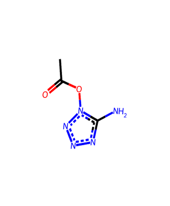 CC(=O)On1nnnc1N